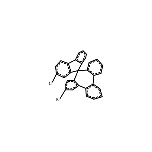 Clc1ccc2c(c1)C1(c3ccccc3-c3ccccc3-c3cc(Br)ccc31)c1ccccc1-2